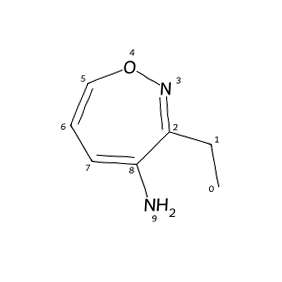 CCC1=NOC=CC=C1N